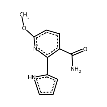 COc1ccc(C(N)=O)c(-c2ccc[nH]2)n1